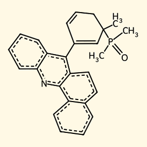 CC1(P(C)(C)=O)C=C(c2c3ccccc3nc3c2ccc2ccccc23)C=CC1